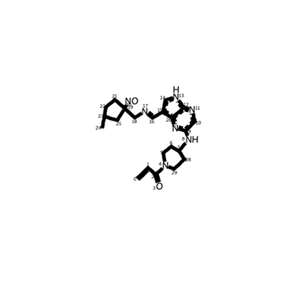 C=CC(=O)N1CCC(Nc2cnc3[nH]cc(/C=N/CC4(N=O)CCC(C)C4)c3n2)CC1